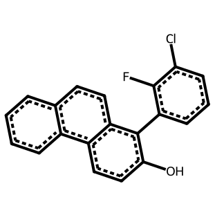 Oc1ccc2c(ccc3ccccc32)c1-c1cccc(Cl)c1F